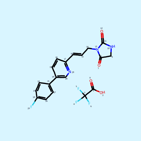 O=C(O)C(F)(F)F.O=C1CNC(=O)N1C/C=C/c1ccc(-c2ccc(F)cc2)cn1